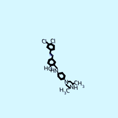 CC1CN(c2ccc(NCc3cc(/C=C/c4ccc(Cl)c(Cl)c4)ccc3O)cc2)CC(C)N1